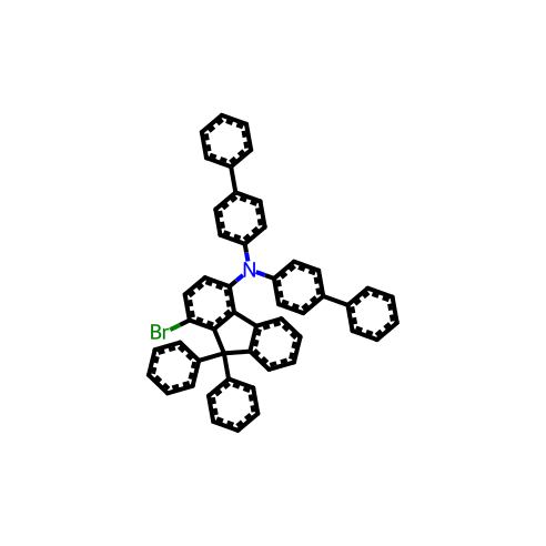 Brc1ccc(N(c2ccc(-c3ccccc3)cc2)c2ccc(-c3ccccc3)cc2)c2c1C(c1ccccc1)(c1ccccc1)c1ccccc1-2